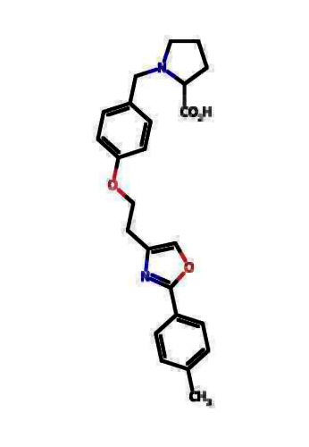 Cc1ccc(-c2nc(CCOc3ccc(CN4CCCC4C(=O)O)cc3)co2)cc1